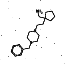 NCC1(CCN2CCN(Cc3ccccc3)CC2)CCCC1